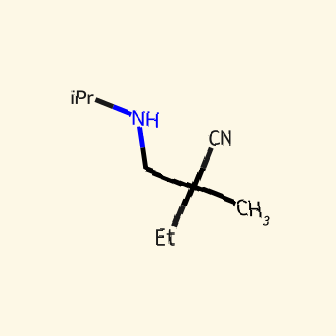 CCC(C)(C#N)CNC(C)C